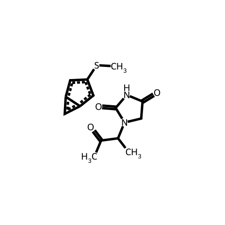 CC(=O)C(C)N1CC(=O)NC1=O.CSc1cc2cc-2c1